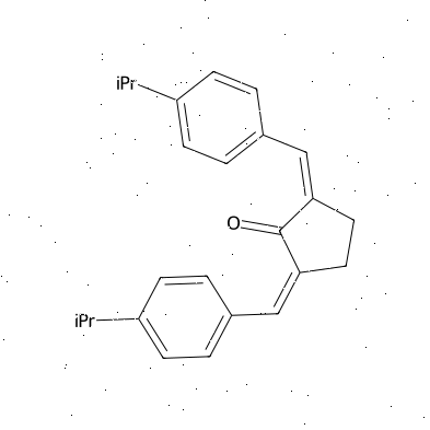 CC(C)c1ccc(C=C2CCC(=Cc3ccc(C(C)C)cc3)C2=O)cc1